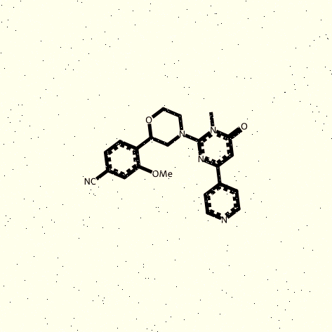 COc1cc(C#N)ccc1C1CN(c2nc(-c3ccncc3)cc(=O)n2C)CCO1